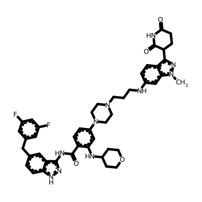 Cn1nc(C2CCC(=O)NC2=O)c2ccc(NCCCN3CCN(c4ccc(C(=O)Nc5n[nH]c6ccc(Cc7cc(F)cc(F)c7)cc56)c(NC5CCOCC5)c4)CC3)cc21